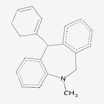 CN1Cc2ccccc2C(C2=CC=CCC2)c2ccccc21